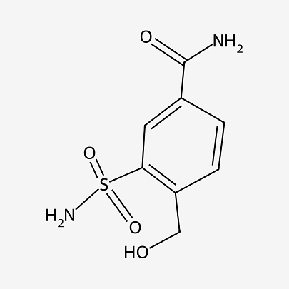 NC(=O)c1ccc(CO)c(S(N)(=O)=O)c1